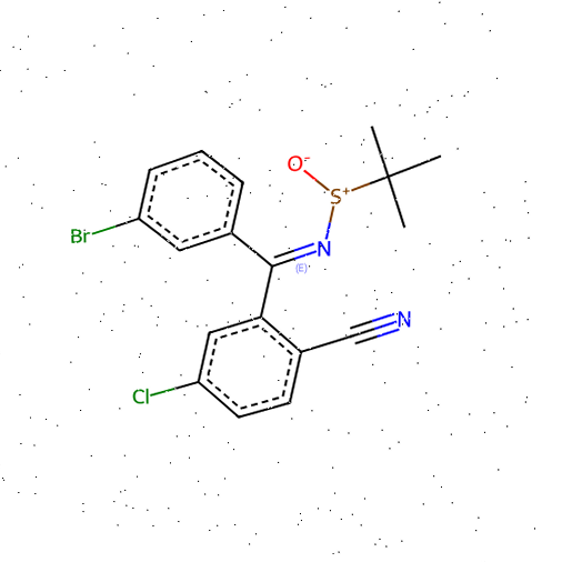 CC(C)(C)[S+]([O-])/N=C(\c1cccc(Br)c1)c1cc(Cl)ccc1C#N